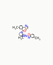 Cc1ccc(-c2nccs2)c(C(=O)N2CCC[C@@H](C)[C@H]2CNc2nc3cc(C)ccc3o2)c1